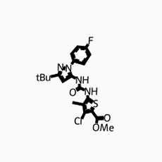 COC(=O)c1sc(NC(=O)Nc2cc(C(C)(C)C)nn2-c2ccc(F)cc2)c(C)c1Cl